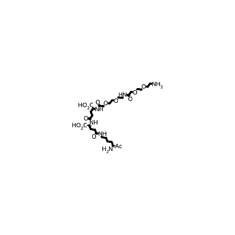 CC(=O)[C@@H](N)CCCCNC(=O)CC[C@H](NC(=O)CC[C@H](NC(=O)COCCOCCNC(=O)COCCOCCN)C(=O)O)C(=O)O